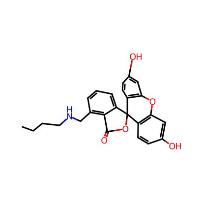 CCCCNCc1cccc2c1C(=O)OC21c2ccc(O)cc2Oc2cc(O)ccc21